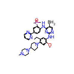 Bc1cnc(Nc2cc(CC)c(N3CCC(N4CCN(C)CC4)CC3)cc2OC)nc1Nc1ccc(-c2ncccn2)cc1P(C)(C)=O